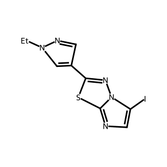 CCn1cc(-c2nn3c(I)cnc3s2)cn1